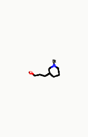 CCN1CCCC(CCC[O])C1